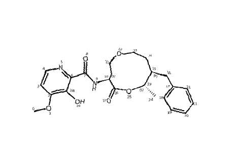 COc1ccnc(C(=O)N[C@H]2COCC[C@@H](Cc3ccccc3)[C@H](C)OC2=O)c1O